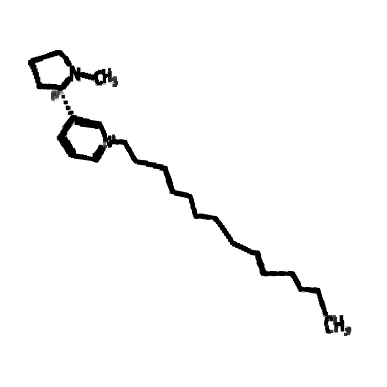 CCCCCCCCCCCCCC[n+]1cccc([C@@H]2CCCN2C)c1